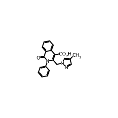 Cc1cnn(Cc2c(C(=O)O)c3ccccc3c(=O)n2-c2ccccc2)c1